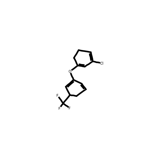 FC(F)(F)C1C=C(OC2=CC(Cl)=CCC2)C=CC1